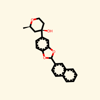 C[C@@H]1C[C@@](O)(c2ccc3c(c2)OC(c2ccc4ccccc4c2)O3)CCO1